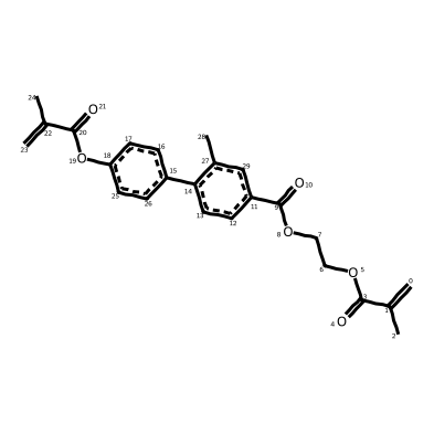 C=C(C)C(=O)OCCOC(=O)c1ccc(-c2ccc(OC(=O)C(=C)C)cc2)c(C)c1